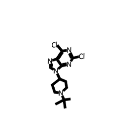 CC(C)(C)N1CCC(n2cnc3c(Cl)nc(Cl)nc32)CC1